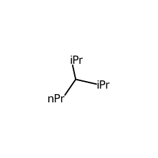 [CH2]C(C)C(CCC)C(C)C